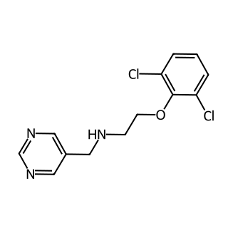 Clc1cccc(Cl)c1OCCNCc1cncnc1